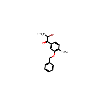 CCOC(=O)C(Br)C(=O)c1ccc(OC)c(OCc2ccccc2)c1